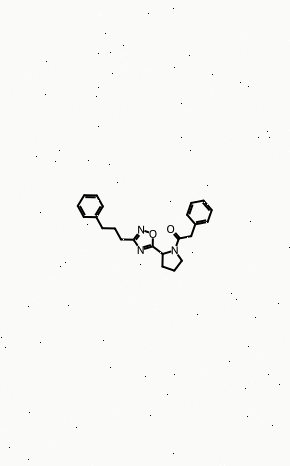 O=C(Cc1ccccc1)N1CCCC1c1nc(CCCc2ccccc2)no1